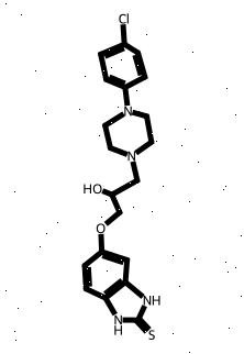 OC(COc1ccc2[nH]c(=S)[nH]c2c1)CN1CCN(c2ccc(Cl)cc2)CC1